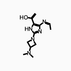 C=C(O)c1[nH]c(N2CC(N(C)C)C2)nc1/N=C\C